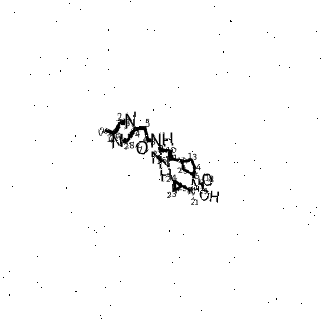 Cc1cnc(CC(=O)Nc2cc(C3CCC(N(C(=O)O)[C@H](C)C4CC4)C3)[nH]n2)cn1